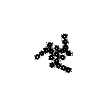 C1=CCCC(c2ccc(-c3ccc4c(c3)c3cc(N(c5ccccc5)c5cc(N(c6ccccc6)c6ccc7c(c6)c6cc(-c8ccc(-c9ccccc9)cc8)ccc6n7-c6ccccc6)cc(N(c6ccccc6)c6ccc7c(c6)c6cc(-c8ccc(-c9ccccc9)cc8)ccc6n7-c6ccccc6)c5)ccc3n4-c3ccccc3)cc2)=C1